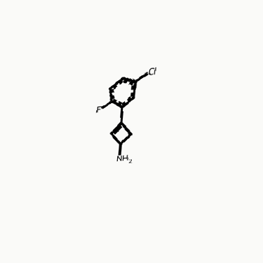 NC1C=C(c2cc(Cl)ccc2F)C1